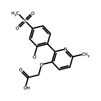 Cc1ccc(OCC(=O)O)c(-c2ccc(S(C)(=O)=O)cc2Cl)n1